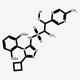 COc1cccc(OC)c1-n1c(NS(=O)(=O)C(C)C(OC(C)C)c2cnc(C)cn2)nnc1C1CCC1